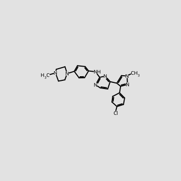 CN1CCN(c2ccc(Nc3nccc(-c4cn(C)nc4-c4ccc(Cl)cc4)n3)cc2)CC1